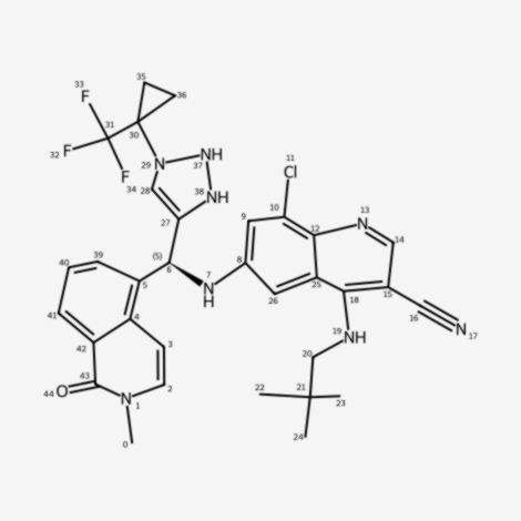 Cn1ccc2c([C@H](Nc3cc(Cl)c4ncc(C#N)c(NCC(C)(C)C)c4c3)C3=CN(C4(C(F)(F)F)CC4)NN3)cccc2c1=O